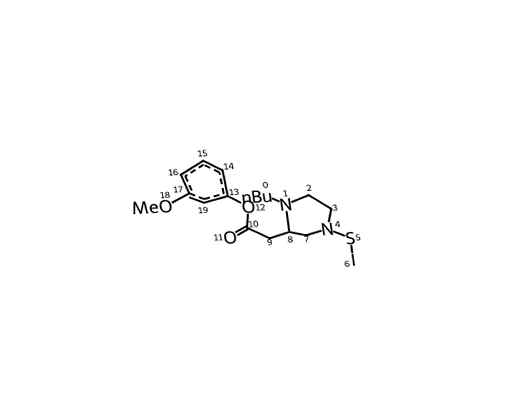 CCCCN1CCN(SI)CC1CC(=O)Oc1cccc(OC)c1